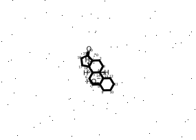 C[C@]12CC[C@H]3[C@@H](CC=C4CCCC[C@@]43CO)[C@@H]1CCC2=O